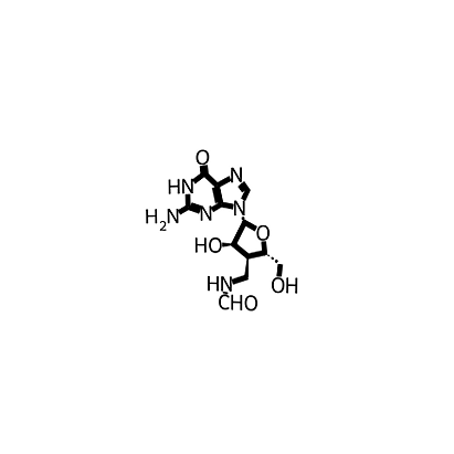 Nc1nc2c(ncn2[C@@H]2O[C@H](CO)[C@@H](CNC=O)[C@H]2O)c(=O)[nH]1